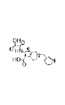 O=C(O)C(=O)Nc1sc2c(c1C(=O)O)CCN(Cc1cccnc1)C2